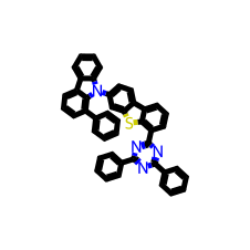 c1ccc(-c2nc(-c3ccccc3)nc(-c3cccc4c3sc3cc(-n5c6ccccc6c6cccc(-c7ccccc7)c65)ccc34)n2)cc1